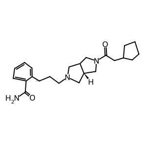 NC(=O)c1ccccc1[CH]CCN1CC2CN(C(=O)CC3CCCC3)C[C@@H]2C1